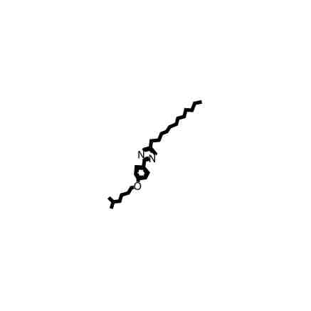 CCCCCCCCCCCCc1cnc(-c2ccc(OCCCCC(C)C)cc2)nc1